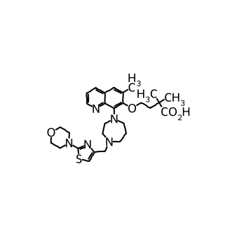 Cc1cc2cccnc2c(N2CCCN(Cc3csc(N4CCOCC4)n3)CC2)c1OCCC(C)(C)C(=O)O